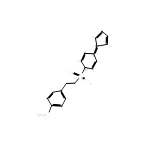 COc1ccc(CCS(=O)(=O)C2C=CC(=C3C=CC=C3)C=C2)cc1